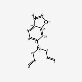 C=CCN(CC=C)c1ccc2ncoc2c1